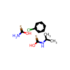 CC(C)NC(O)=S.Clc1ccccc1.NC(O)=S